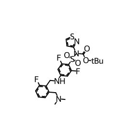 CN(C)Cc1cccc(F)c1CNc1cc(F)c(S(=O)(=O)N(C(=O)OC(C)(C)C)c2ccsn2)c(F)c1